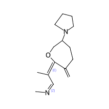 C=C1CCC(N2CCCC2)CO/C1=C(C)/C=N\C